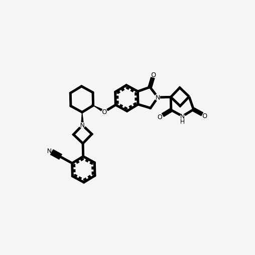 N#Cc1ccccc1C1CN([C@H]2CCCC[C@H]2Oc2ccc3c(c2)CN(C24CC(C2)C(=O)NC4=O)C3=O)C1